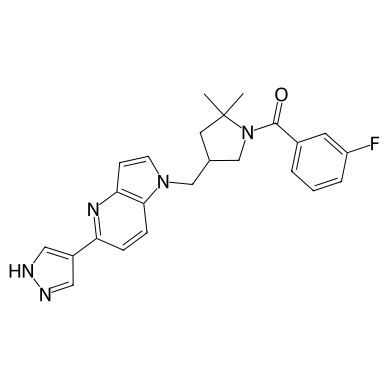 CC1(C)CC(Cn2ccc3nc(-c4cn[nH]c4)ccc32)CN1C(=O)c1cccc(F)c1